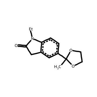 CCN1C(=O)Cc2cc(C3(C)OCCO3)ccc21